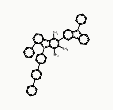 Bc1c(-c2ccc3c(c2)c2ccccc2n3-c2ccccc2)c(B)c2c3cccc(-c4ccccc4)c3n(-c3ccc(-c4ccc(-c5ccccc5)cc4)cc3)c2c1B